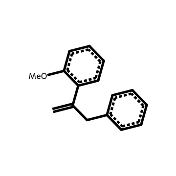 C=C(Cc1ccccc1)c1ccccc1OC